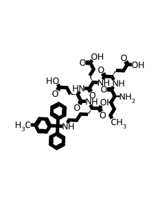 CCCC[C@H](N)C(=O)N[C@@H](CCC(=O)O)C(=O)N[C@@H](CCC(=O)O)C(=O)N[C@@H](CCC(=O)O)C(=O)N[C@@H](CCCCNC(c1ccccc1)(c1ccccc1)c1ccc(C)cc1)C(=O)O